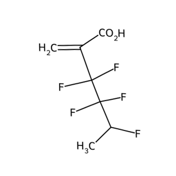 C=C(C(=O)O)C(F)(F)C(F)(F)C(C)F